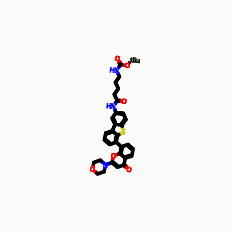 CC(C)(C)OC(=O)NCCCCC(=O)Nc1ccc2sc3c(-c4cccc5c(=O)cc(N6CCOCC6)oc45)cccc3c2c1